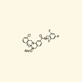 CON1Cc2ccc(C(=O)NCc3c(F)cc(F)cc3F)cc2N(Cc2c(F)cccc2Cl)C1=O